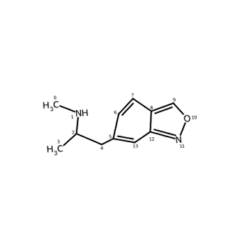 CNC(C)Cc1ccc2conc2c1